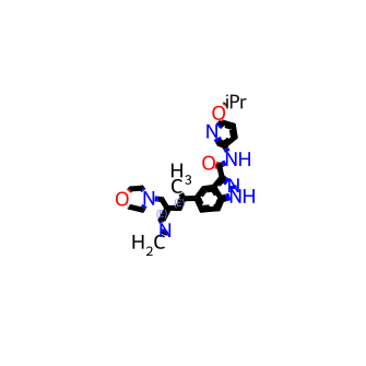 C=N/C=C(\C=C(/C)c1ccc2[nH]nc(C(=O)Nc3ccc(OC(C)C)nc3)c2c1)CN1CCOCC1